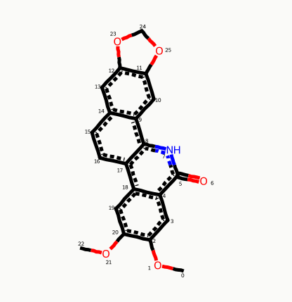 COc1cc2c(=O)[nH]c3c4cc5c(cc4ccc3c2cc1OC)OCO5